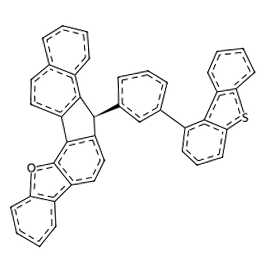 c1cc(-c2cccc3sc4ccccc4c23)cc([C@H]2c3ccc4c(oc5ccccc54)c3-c3ccc4ccccc4c32)c1